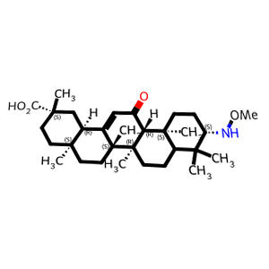 CON[C@H]1CC[C@@]2(C)C(CC[C@]3(C)[C@@H]2C(=O)C=C2[C@@H]4C[C@@](C)(C(=O)O)CC[C@]4(C)CC[C@]23C)C1(C)C